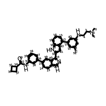 CN(C)CCNc1cc(F)cc(-c2cccc3[nH]c(-c4n[nH]c5ccc(-c6cc#cc(NC(=O)C7CCC7)c6)cc45)cc23)c1